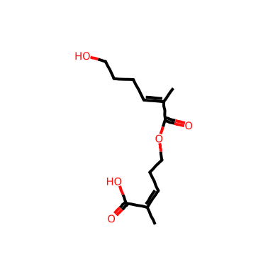 CC(=CCCOC(=O)C(C)=CCCCO)C(=O)O